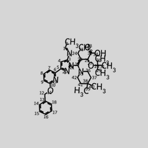 C/C=N/c1cc(-c2cccc(OCc3ccccc3)n2)nn1/C(=C(\CC)C(OC(C)(C)C)C(=O)O)N1CCC(C)(C)CC1